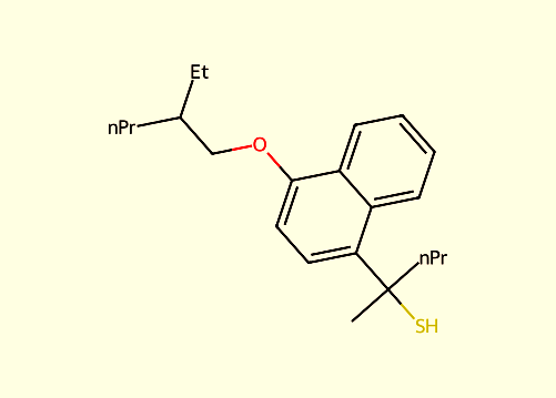 CCCC(CC)COc1ccc(C(C)(S)CCC)c2ccccc12